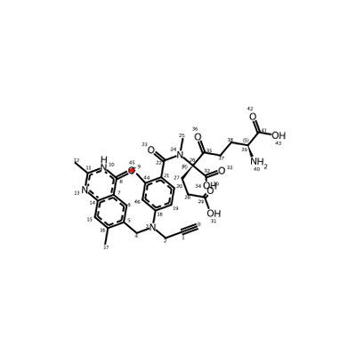 C#CCN(Cc1cc2c(=O)[nH]c(C)nc2cc1C)c1ccc(C(=O)N(C)[C@@](CCC(=O)O)(C(=O)O)C(=O)CC[C@H](N)C(=O)O)c(F)c1